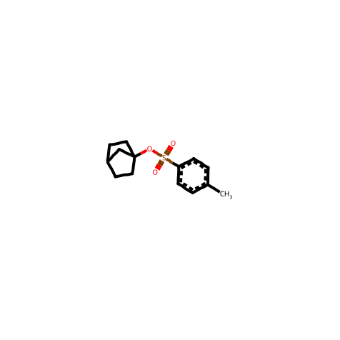 Cc1ccc(S(=O)(=O)OC23CCC(CC2)C3)cc1